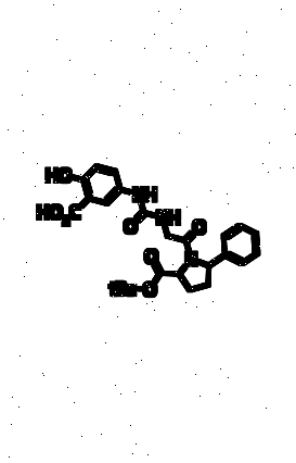 CC(C)(C)OC(=O)C1CCC(c2ccccc2)N1C(=O)CNC(=O)Nc1ccc(O)c(C(=O)O)c1